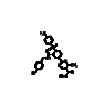 COC(=O)c1cnc(N2CCN(S(=O)(=O)c3ccc(C(F)(F)F)cc3)[C@@H](C(=O)NCc3ccc(C(C)C)cc3)C2)nc1C